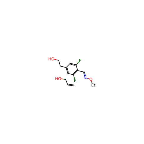 C=CCO.CCO/N=C/c1c(F)cc(CCO)cc1F